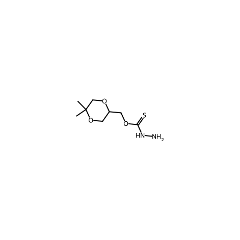 CC1(C)COC(COC(=S)NN)CO1